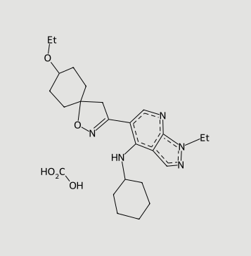 CCOC1CCC2(CC1)CC(c1cnc3c(cnn3CC)c1NC1CCCCC1)=NO2.O=C(O)O